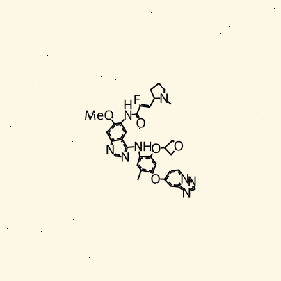 COc1cc2ncnc(Nc3cc(C)c(Oc4ccn5ncnc5c4)cc3OC3COC3)c2cc1NC(=O)C(F)=CC1CCCN1C